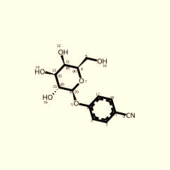 N#Cc1ccc(O[C@@H]2O[C@H](CO)[C@H](O)[C@H](O)[C@H]2O)cc1